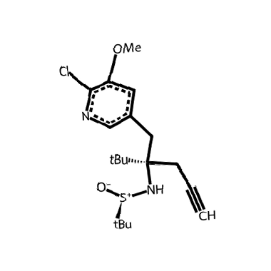 C#CC[C@](Cc1cnc(Cl)c(OC)c1)(N[S@+]([O-])C(C)(C)C)C(C)(C)C